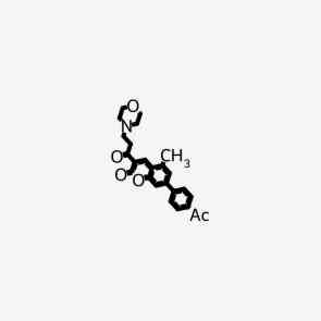 CC(=O)c1ccc(-c2cc(C)c3cc(C(=O)CCN4CCOCC4)c(=O)oc3c2)cc1